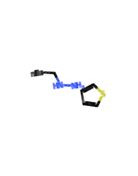 CCCCCNN.c1ccsc1